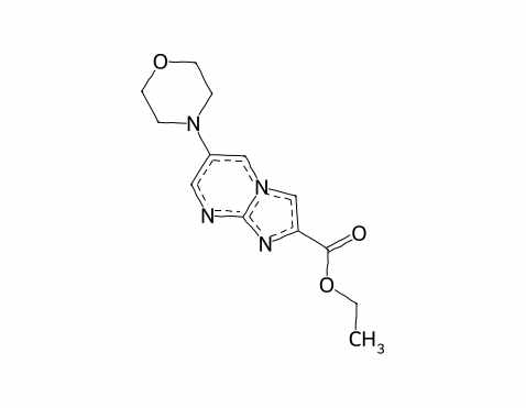 CCOC(=O)c1cn2cc(N3CCOCC3)cnc2n1